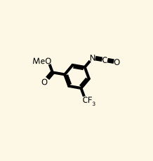 COC(=O)c1cc(N=C=O)cc(C(F)(F)F)c1